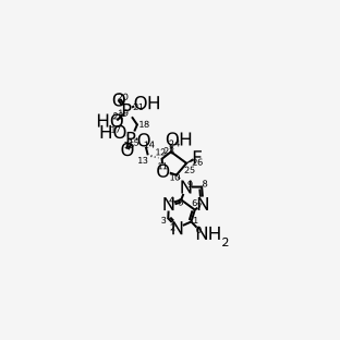 Nc1ncnc2c1ncn2[C@@H]1O[C@H](COP(=O)(O)CP(=O)(O)O)[C@@H](O)[C@H]1F